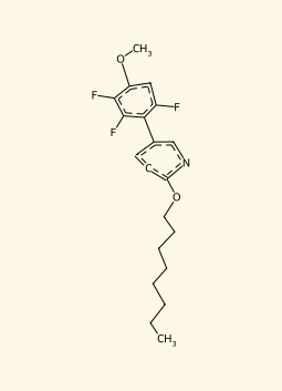 CCCCCCCCOc1ccc(-c2c(F)cc(OC)c(F)c2F)cn1